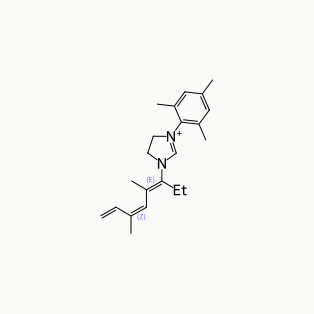 C=C/C(C)=C\C(C)=C(/CC)N1C=[N+](c2c(C)cc(C)cc2C)CC1